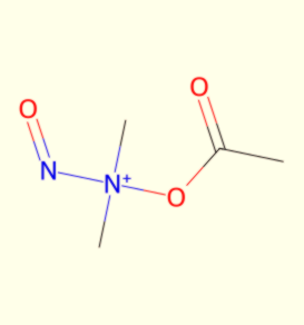 CC(=O)O[N+](C)(C)N=O